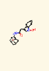 O=C(Cc1cn(O)c2ccccc12)NC1C2CC3CC(C2)CC1C3